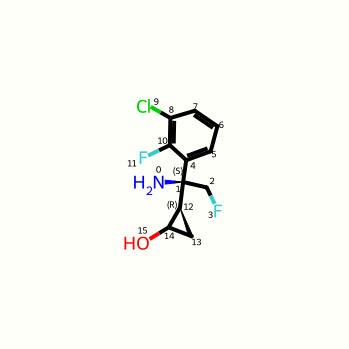 N[C@](CF)(c1cccc(Cl)c1F)[C@H]1CC1O